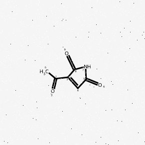 CC(=O)C1=CC(=O)NC1=O